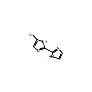 Clc1cnc(-c2ncc[nH]2)[nH]1